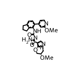 COc1cc(-c2ccc3c(c2NC(=O)N=[S@](N)(=O)c2cnn4c2OC[C@@H](OC)C4)CCC3)ccn1